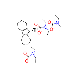 CCN(CC)C(=O)[O-].CCN(CC)C(=O)[O-].CCN(CC)C(=O)[O-].[Ti+3][CH]1C2=C(CCCC2)C2=C1CCCC2